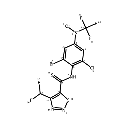 [O-][S+](c1cc(Cl)c(NC(=S)c2snnc2C(F)F)c(Br)c1)C(F)(F)F